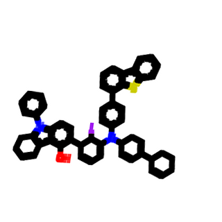 Oc1c(C2C=CC=C(N(c3ccc(-c4cccc5c4sc4ccccc45)cc3)C3C=CC(C4C=CCCC4)=CC3)C2I)ccc2c1c1c(n2-c2ccccc2)CCC=C1